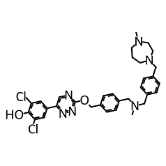 CN1CCCN(Cc2ccc(CN(C)Cc3ccc(COc4ncc(-c5cc(Cl)c(O)c(Cl)c5)nn4)cc3)cc2)CC1